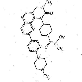 C[C@@H](O)C(=O)N1CCC(N2C(=O)N(C)Cc3cnc4ccc(-c5ccc(N6CCN(C)CC6)nc5)nc4c32)CC1